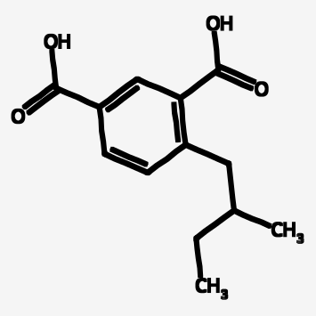 CCC(C)Cc1ccc(C(=O)O)cc1C(=O)O